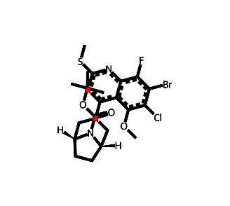 COc1c(Cl)c(Br)c(F)c2nc(SC)nc(N3C[C@H]4CC[C@@H](C3)N4C(=O)OC(C)(C)C)c12